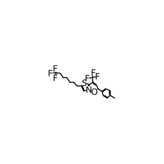 Cc1ccc(C(=O)/C=C(\c2ncc(CCCCCCC(F)(F)F)s2)C(F)(F)F)cc1